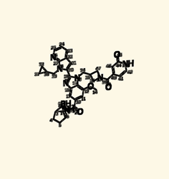 B[C@]1(N)C2CCC1N(C(=O)c1cc(OC)c3c(c1)nc(-c1cc4cccnc4n1CC1CC1)n3CC1CN(C(=O)c3cc[nH]c(=O)c3)C1)C2